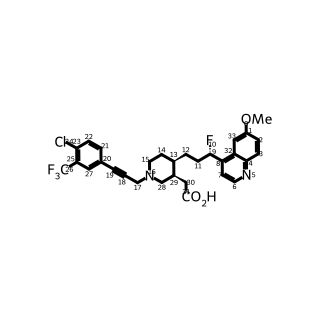 COc1ccc2nccc([C@@H](F)CC[C@@H]3CCN(CC#Cc4ccc(Cl)c(C(F)(F)F)c4)C[C@@H]3CC(=O)O)c2c1